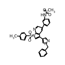 Cc1ccc(S(=O)(=O)n2cc(-c3cnn(Cc4ccccc4)c3)c3cc(-c4cccc(NS(C)(=O)=O)c4)cnc32)cc1